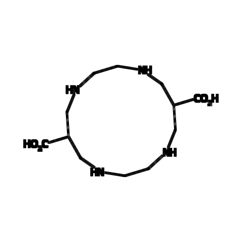 O=C(O)C1CNCCNCC(C(=O)O)CNCCNC1